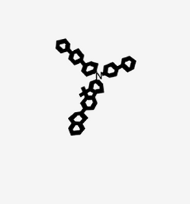 CC1(C)c2cc(-c3ccc4ccccc4c3)ccc2-c2ccc(N(c3ccc(-c4ccccc4)cc3)c3ccc(-c4ccc(-c5ccccc5)cc4)cc3)cc21